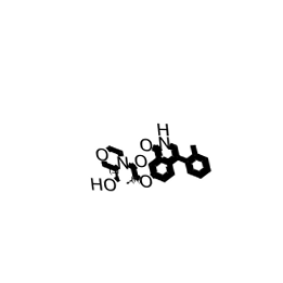 Cc1ccccc1-c1c[nH]c(=O)c2cc(O[C@H](C)C(=O)N3CCOC[C@@H]3CO)ccc12